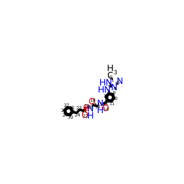 CCNC(=NC#N)Nc1cccc(C(=O)NCC(=O)NOC(=O)CCc2ccccc2)c1